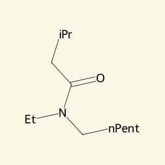 CCCCCCN(CC)C(=O)CC(C)C